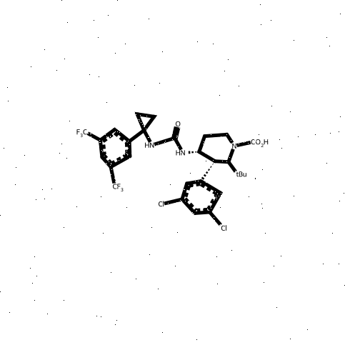 CC(C)(C)C1[C@H](c2cc(Cl)cc(Cl)c2)[C@H](NC(=O)NC2(c3cc(C(F)(F)F)cc(C(F)(F)F)c3)CC2)CCN1C(=O)O